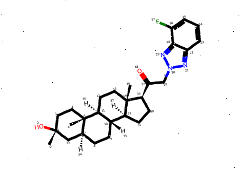 C[C@@]1(O)CC[C@@]2(C)[C@@H](CC[C@@H]3[C@@H]2CC[C@]2(C)[C@@H](C(=O)Cn4nc5cccc(F)c5n4)CC[C@@H]32)C1